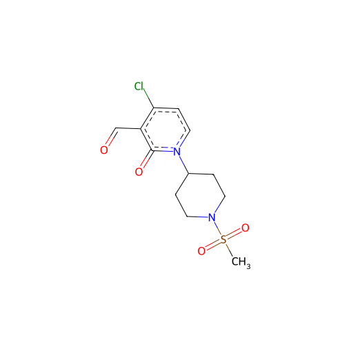 CS(=O)(=O)N1CCC(n2ccc(Cl)c(C=O)c2=O)CC1